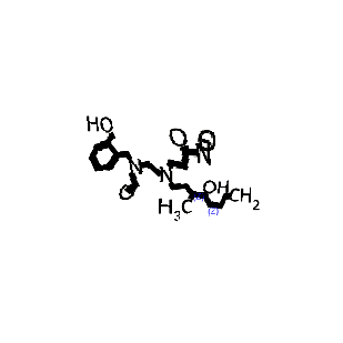 C=C/C=C\C(O)=C(/C)CCN(CCC(=O)N=O)CCN(CC=O)Cc1ccccc1CO